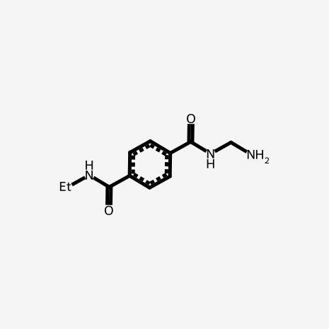 CCNC(=O)c1ccc(C(=O)NCN)cc1